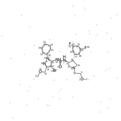 COCCN1C[C@@H](NC(=O)Nc2c(Br)c(COC)nn2-c2ccccc2)[C@H](c2cc(F)cc(F)c2)C1